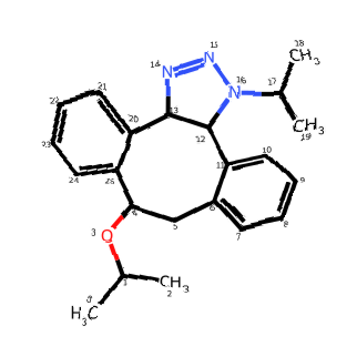 CC(C)OC1Cc2ccccc2C2C(N=NN2C(C)C)c2ccccc21